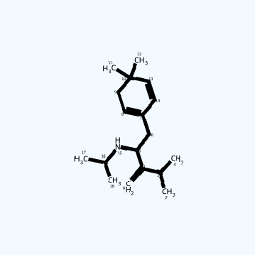 C=C(C(C)C)C(CC1=CCC(C)(C)C=C1)NC(C)C